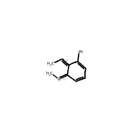 C/C=C1/C(C(C)C)=CC=C/C1=N/C